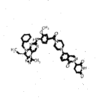 CC[C@@H]1c2nnc(C)n2-c2cnc(Nc3ccc(C(=O)N4CCN(c5ccc6c(=O)n(C7CCC(=O)NC7=O)ncc6c5)CC4)cc3OC)nc2N1CC1CCCCC1